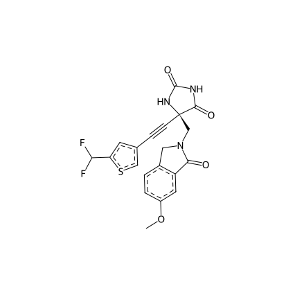 COc1ccc2c(c1)C(=O)N(C[C@@]1(C#Cc3csc(C(F)F)c3)NC(=O)NC1=O)C2